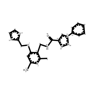 Cc1nc(N)cc(OCc2ncco2)c1CNC(=O)c1cn(-c2ccccc2)nn1